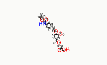 COc1cc(C(C)OCCC(=O)O)ccc1OCCc1ccc(NC(=O)OC(C)(C)C)cc1